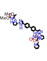 COC(=O)N[C@@H](CN1CCC[C@H]1c1ncc(-c2ccc(-c3ccc(-c4cnc([C@@H]5CCCN5C(=O)[C@H](Cc5ccccn5)OC(N)=O)[nH]4)cc3)cc2)[nH]1)[C@@H](C)OC